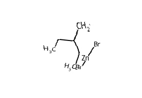 [Br][Zn][Br].[CH2]C(CC)CC